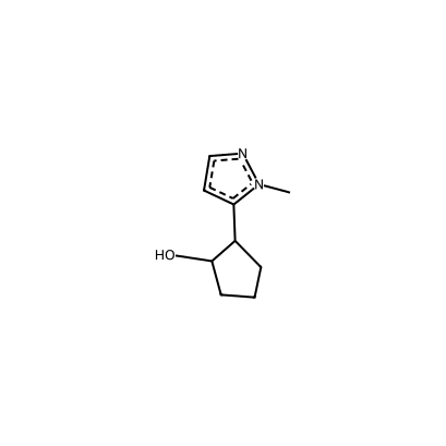 Cn1nccc1C1CCCC1O